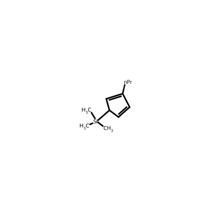 CCCC1=CC([Si](C)(C)C)C=C1